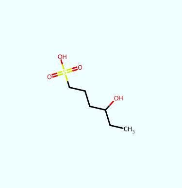 CCC(O)CCCS(=O)(=O)O